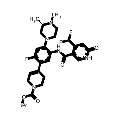 CC(C)OC(=O)N1CC=C(c2cc(NC(=O)c3c[nH]c(=O)cc3C(F)F)c(N3CCN(C)[C@@H](C)C3)cc2F)CC1